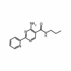 CCCNC(=O)c1cnc(-c2ccccn2)nc1N